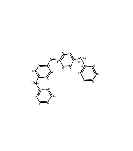 c1ccc(Nc2ccc(Sc3ccc(Nc4ccccc4)cc3)cc2)cc1